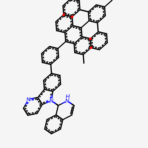 Cc1cc(-c2ccccc2)c(-c2c3ccccc3c(-c3cccc(-c4ccc5c(c4)c4ncccc4n5C4NC=Cc5ccccc54)c3)c3cc(C)ccc23)c(-c2ccccc2)c1